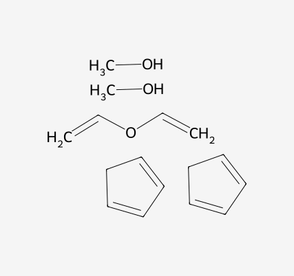 C1=CCC=C1.C1=CCC=C1.C=COC=C.CO.CO